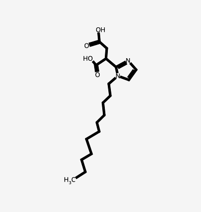 CCCCCCCCCCCn1ccnc1C(CC(=O)O)C(=O)O